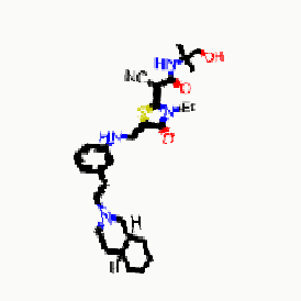 CCn1c(=C(C#N)C(=O)NC(C)(C)CO)sc(=CNc2cccc(CCN3CC[C@H]4CCCC[C@@H]4C3)c2)c1=O